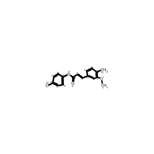 COc1cc(/C=C/C(=O)Oc2ccc(Cl)cc2)ccc1C